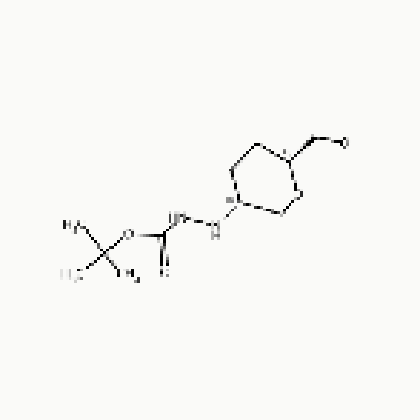 CC(C)(C)OC(=O)NN[C@@H]1CC[C@@H](CO)OC1